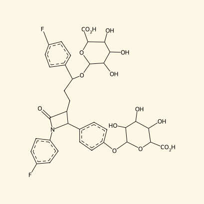 O=C(O)C1OC(Oc2ccc(C3C(CCC(OC4OC(C(=O)O)C(O)C(O)C4O)c4ccc(F)cc4)C(=O)N3c3ccc(F)cc3)cc2)C(O)C(O)C1O